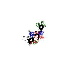 Cc1nc([C@@H]2O[C@H](CO)[C@H](O)[C@H](n3cc(-c4cc(F)c(Cl)c(Cl)c4)nn3)[C@H]2O)n(-c2cc(Cl)ccc2C(F)(F)F)n1